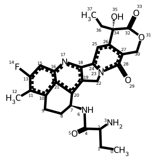 CCC(N)C(=O)N[C@H]1CCc2c(C)c(F)cc3nc4c(c1c23)Cn1c-4cc2c(c1=O)COC(=O)[C@]2(O)CC